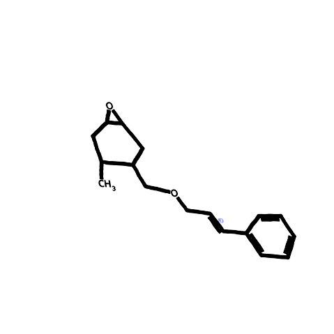 CC1CC2OC2CC1COC/C=C/c1ccccc1